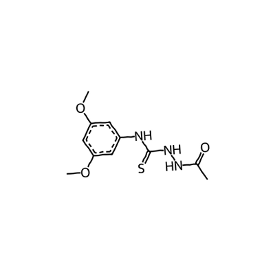 COc1cc(NC(=S)NNC(C)=O)cc(OC)c1